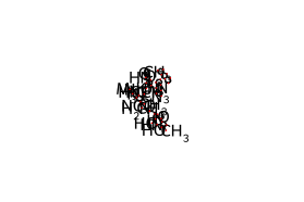 CC(C)(C#N)c1cc(Cn2cncn2)cc(C(C)(C)C#N)c1.COc1cc(NS(C)(=O)=O)ccc1Nc1c2ccccc2nc2ccccc12.Cc1ccc2c(c1O)N[C@@H](O)[C@@H]1CC(/C=C/C(N)=O)=CN1C2=O.c1ccc2cc3ccccc3cc2c1